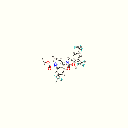 CCOC(=O)N1c2cc(C(F)(F)F)ccc2[C@@H](N(Cc2cc(C(F)(F)F)cc(C(F)(F)F)c2)C(=O)OC)C[C@H]1C